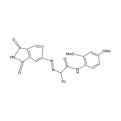 COc1ccc(NC(=O)C(N=Nc2ccc3c(c2)C(=O)NC3=O)C(C)=O)c(OC)c1